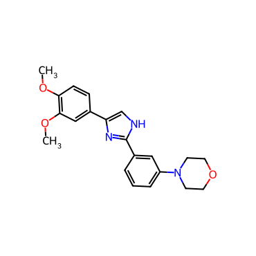 COc1ccc(-c2c[nH]c(-c3cccc(N4CCOCC4)c3)n2)cc1OC